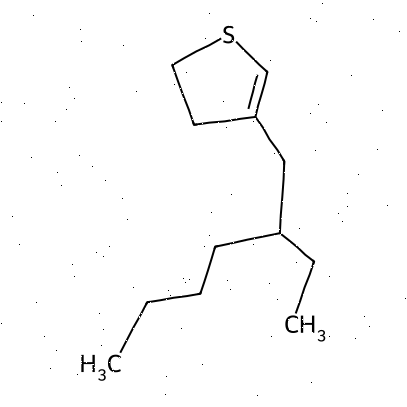 CCCCC(CC)CC1=CSCC1